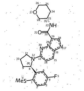 CSc1ccc(F)cc1[C@H]1CCCN1c1ccc2ncc(C(=O)N[C@H]3CCCOC3)n2n1